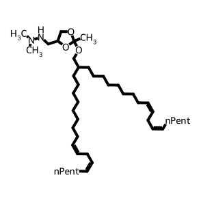 CCCCC/C=C\C/C=C\CCCCCCCCC(CCCCCCCC/C=C\C/C=C\CCCCC)COC1(C)OCC(CNN(C)C)O1